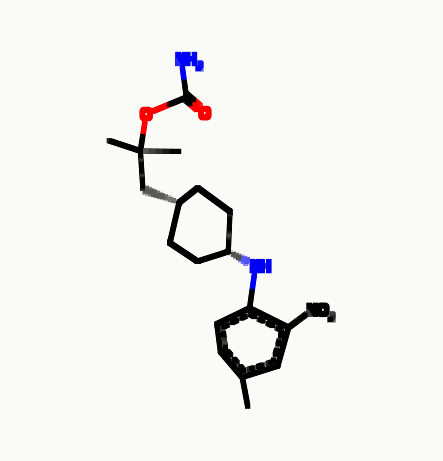 Cc1ccc(N[C@H]2CC[C@@H](CC(C)(C)OC(N)=O)CC2)c([N+](=O)[O-])c1